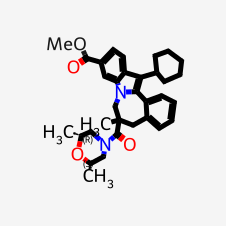 COC(=O)c1ccc2c(C3CCCCC3)c3n(c2c1)CC(C)(C(=O)N1C[C@@H](C)O[C@@H](C)C1)Cc1ccccc1-3